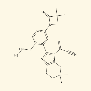 C=C(C#N)c1c(-c2cc(N3CC(C)(C)C3=O)ccc2CNS)sc2c1CC(C)(C)CC2